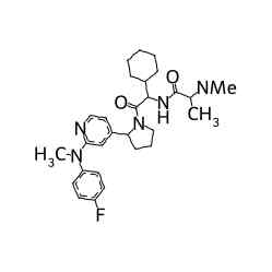 CNC(C)C(=O)NC(C(=O)N1CCCC1c1ccnc(N(C)c2ccc(F)cc2)c1)C1CCCCC1